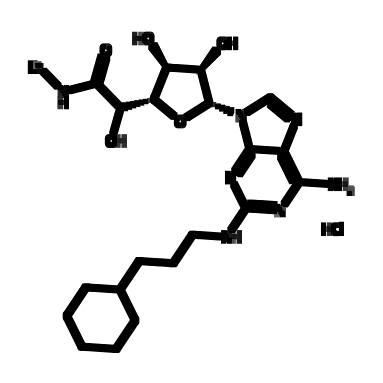 CCNC(=O)C(O)[C@H]1O[C@@H](n2cnc3c(N)nc(NCCCC4CCCCC4)nc32)[C@H](O)[C@@H]1O.Cl